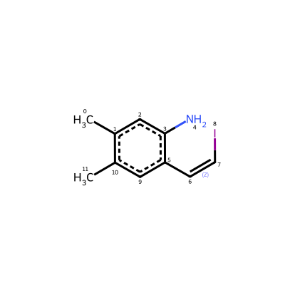 Cc1cc(N)c(/C=C\I)cc1C